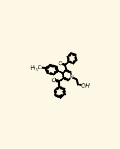 Cc1ccc(C2C(C(=O)c3ccccc3)=CN(CCO)C=C2C(=O)c2ccccc2)cc1